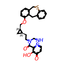 O=C1c2c(O)c(=O)ccn2NCN1CC[C@H]1C[C@H]1COc1cccc2c1Cc1ccccc1SC2